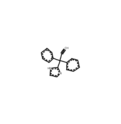 C#CC(c1ccccc1)(c1ccccc1)c1ncc[nH]1